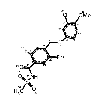 COc1ncc(OCc2cc(F)c(C(=O)NS(C)(=O)=O)cc2F)cc1Cl